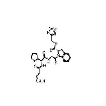 O=C(O)CCC(=O)N[C@H](C(=O)NCC(=O)N1c2ccccc2C[C@H]1C(=O)NCc1nn[nH]n1)C1CCCC1